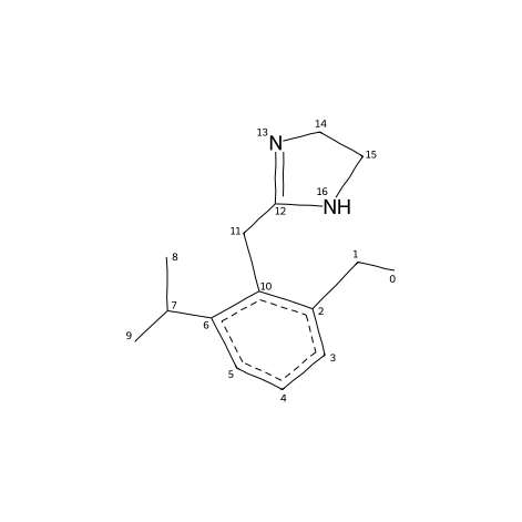 CCc1cccc(C(C)C)c1CC1=NCCN1